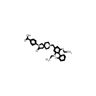 CCOc1cc(CN2CCC3(CC2)CC(=O)N(c2ccc(C(=O)O)cc2)C3)cc(OCC)c1-c1ccccc1F